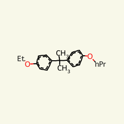 CCCOc1ccc(C(C)(C)c2ccc(OCC)cc2)cc1